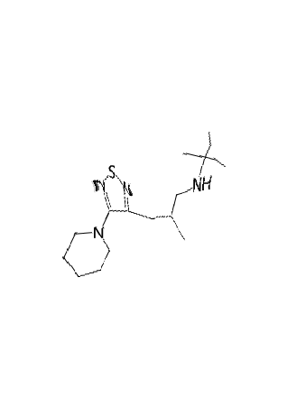 CC(CNC(C)(C)C)Cc1nsnc1N1CCCCC1